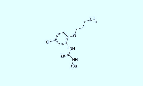 CC(C)(C)NC(=O)Nc1cc(Cl)ccc1OCCCN